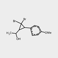 COc1ccc(C2C(C(C)O)C2(Br)Br)cc1